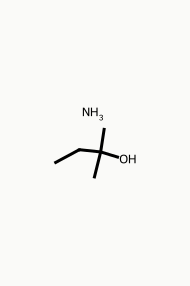 CCC(C)(C)O.N